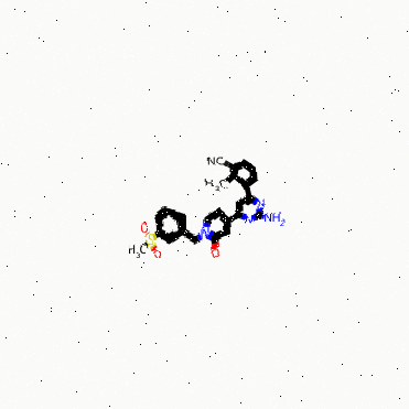 Cc1c(C#N)cccc1-c1cc(-c2ccn(Cc3cccc(S(C)(=O)=O)c3)c(=O)c2)nc(N)n1